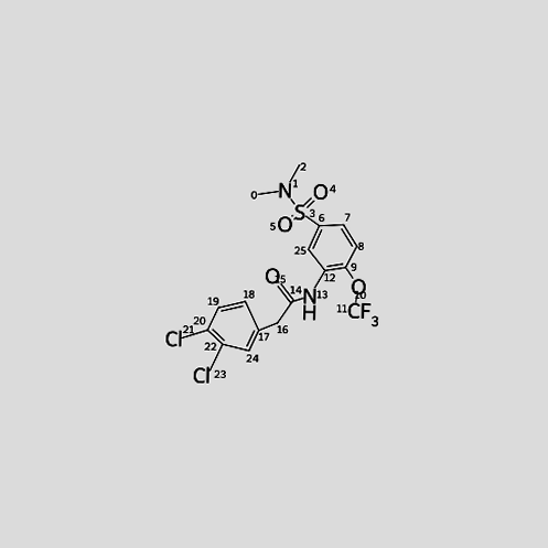 CN(C)S(=O)(=O)c1ccc(OC(F)(F)F)c(NC(=O)Cc2ccc(Cl)c(Cl)c2)c1